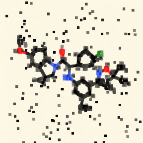 COc1cc(NC(C(=O)N2CC3(CC3)c3cc(OC(F)(F)F)ccc32)c2ccc(Cl)cc2)cc(C(C)=NOC(C)(C)C(=O)O)c1